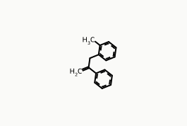 C=C(Cc1ccccc1C)c1ccccc1